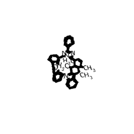 CC1C=CC2(C)C3=C1C(C)c1c(n(c4ccccc14)-c1cccc4c1oc1c(cccc14)-c1nc(-c4ccccc4)nc2n1)C3C